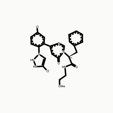 COCCNC(=O)[C@H](Cc1ccccc1)n1cnc(-c2cc(Cl)ccc2N2C=C(Cl)NN2)cc1=O